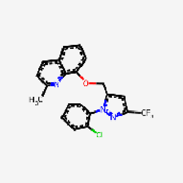 Cc1ccc2cccc(OCc3cc(C(F)(F)F)nn3-c3ccccc3Cl)c2n1